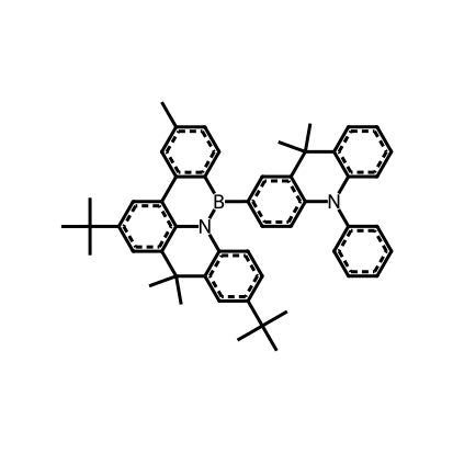 Cc1ccc2c(c1)-c1cc(C(C)(C)C)cc3c1N(B2c1ccc2c(c1)C(C)(C)c1ccccc1N2c1ccccc1)c1ccc(C(C)(C)C)cc1C3(C)C